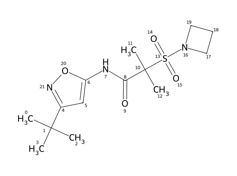 CC(C)(C)c1cc(NC(=O)C(C)(C)S(=O)(=O)N2CCC2)on1